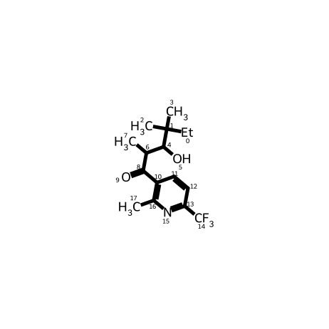 CCC(C)(C)C(O)C(C)C(=O)c1ccc(C(F)(F)F)nc1C